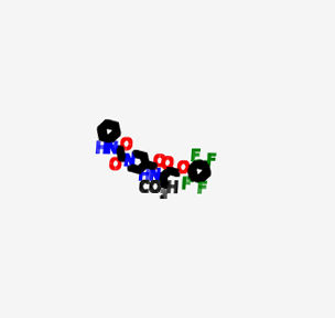 O=C(O)CC(NC(=O)C1CCN(C(=O)C(=O)Nc2ccccc2)CC1)C(=O)COc1c(F)c(F)cc(F)c1F